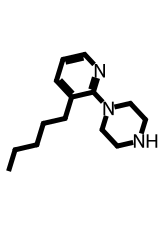 CCCCCc1cccnc1N1CCNCC1